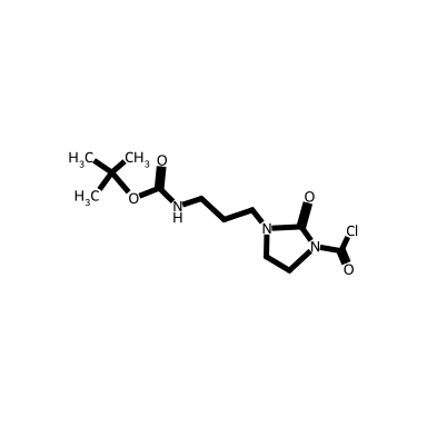 CC(C)(C)OC(=O)NCCCN1CCN(C(=O)Cl)C1=O